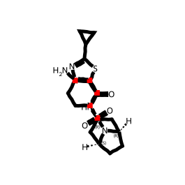 NC1CCN(S(=O)(=O)N2[C@@H]3CC[C@H]2C[C@@H](NC(=O)c2nnc(C4CC4)s2)C3)CC1